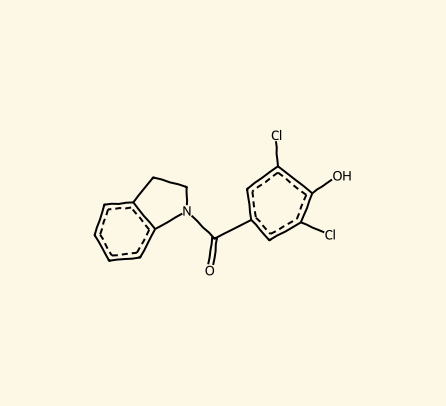 O=C(c1cc(Cl)c(O)c(Cl)c1)N1CCc2ccccc21